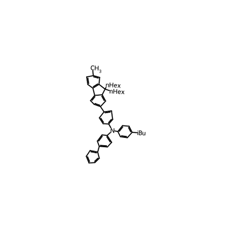 CCCCCCC1(CCCCCC)c2cc(C)ccc2-c2ccc(-c3ccc(N(c4ccc(-c5ccccc5)cc4)c4ccc(C(C)CC)cc4)cc3)cc21